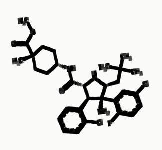 COC(=O)[C@]1(C)CC[C@H](NC(=O)[C@@H]2N[C@@H](CC(C)(C)C)[C@](N)(c3cc(Cl)ccc3F)[C@H]2c2ccccc2Cl)CC1